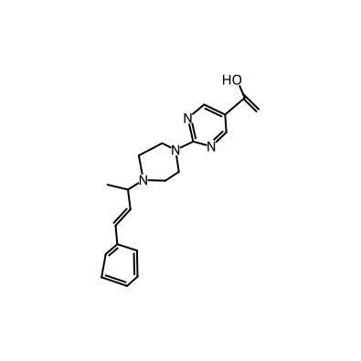 C=C(O)c1cnc(N2CCN(C(C)/C=C/c3ccccc3)CC2)nc1